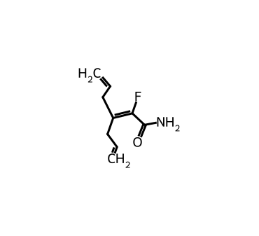 C=CCC(CC=C)=C(F)C(N)=O